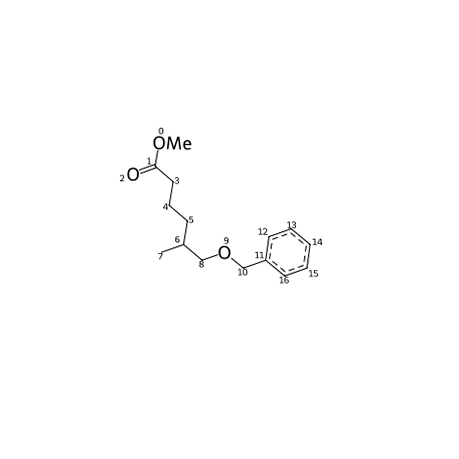 COC(=O)CCCC(C)COCc1ccccc1